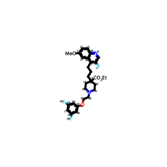 CCOC(=O)C1(CCCc2c(F)cnc3ccc(OC)cc23)CCN(CCOc2cc(F)cc(F)c2)CC1